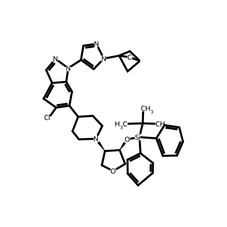 CC(C)(C)[Si](O[C@H]1COC[C@H]1N1CCC(c2cc3c(cnn3-c3cnn(C45CC(C4)C5)c3)cc2Cl)CC1)(c1ccccc1)c1ccccc1